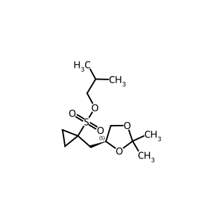 CC(C)COS(=O)(=O)C1(C[C@H]2COC(C)(C)O2)CC1